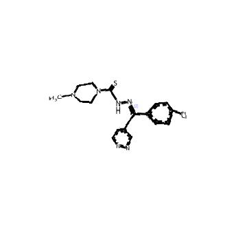 CN1CCN(C(=S)N/N=C(/c2ccc(Cl)cc2)c2ccnnc2)CC1